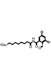 CCCCCCCCCCCCCCCCCC(=O)NC(=O)c1cc(Br)cc(Br)c1I=O